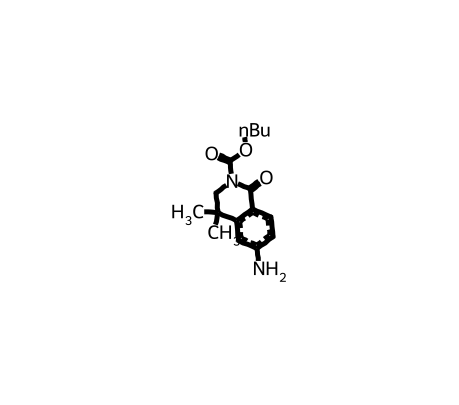 CCCCOC(=O)N1CC(C)(C)c2cc(N)ccc2C1=O